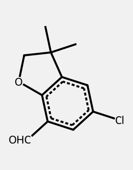 CC1(C)COc2c(C=O)cc(Cl)cc21